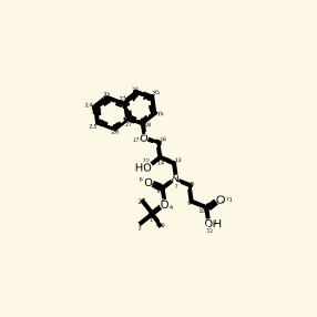 CC(C)(C)OC(=O)N(CCC(=O)O)CC(O)COc1cccc2ccccc12